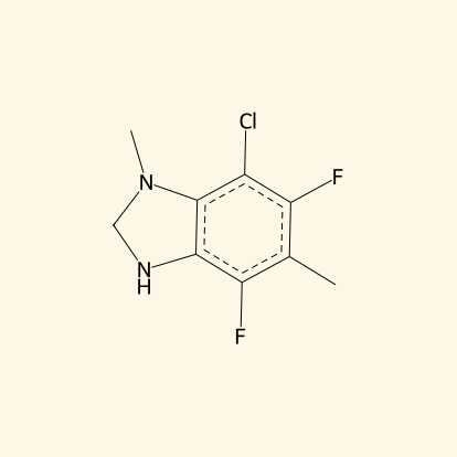 Cc1c(F)c(Cl)c2c(c1F)NCN2C